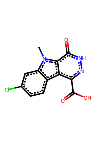 Cn1c2cc(Cl)ccc2c2c(C(=O)O)n[nH]c(=O)c21